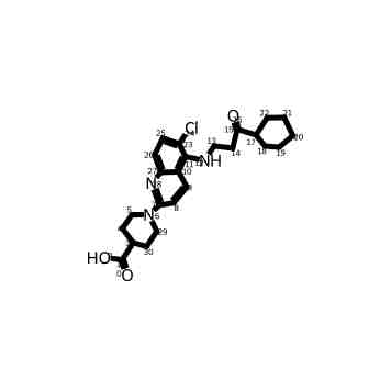 O=C(O)C1CCN(c2ccc3c(NCCC(=O)C4CCCCC4)c(Cl)ccc3n2)CC1